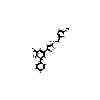 O=c1cc(-c2cc(NCc3ccc(Cl)s3)[nH]n2)cc(-c2ccccc2)[nH]1